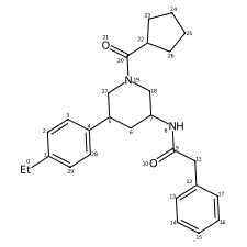 CCc1ccc(C2CC(NC(=O)Cc3ccccc3)CN(C(=O)C3CCCC3)C2)cc1